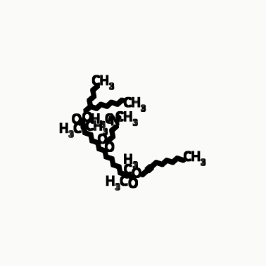 CCCCCCCC#CCOC(=O)C(C)(C)CCCCCC(CCCCCC(C)(C)C(=O)OCC(CCCCC)CCCCCCC)OC(=O)CCCN(C)C